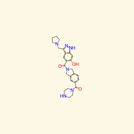 O=C(c1ccc2c(c1)CN(C(=O)c1cc3c(CN4CCCC4)n[nH]c3cc1O)C2)N1CCNCC1